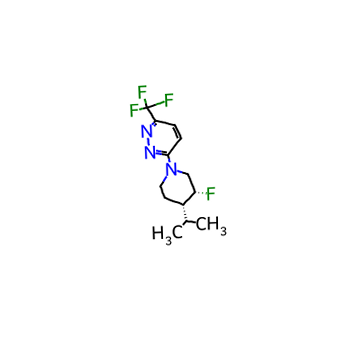 CC(C)[C@@H]1CCN(c2ccc(C(F)(F)F)nn2)C[C@@H]1F